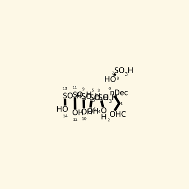 CCCCCCCCCCCC=O.O=S(=O)(O)O.O=S(=O)(O)O.O=S(=O)(O)O.O=S(=O)(O)O.O=S(=O)(O)O.O=S(=O)(O)O